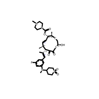 C/C(=C\c1cc(F)cc(N(C)C2CCS(=O)(=O)CC2)c1)[C@H]1C(=O)C(=O)C[C@H](O)CC[C@H](C)[C@@H](OC(=O)N2CCN(C)CC2)/C=C/[C@@H]1C